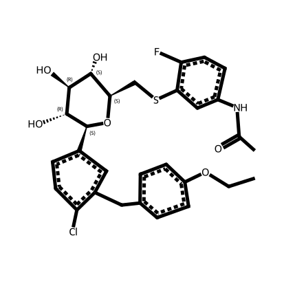 CCOc1ccc(Cc2cc([C@@H]3O[C@H](CSc4cc(NC(C)=O)ccc4F)[C@@H](O)[C@H](O)[C@H]3O)ccc2Cl)cc1